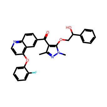 Cc1nn(C)c(OCC(O)c2ccccc2)c1C(=O)c1ccc2nccc(Oc3ccccc3F)c2c1